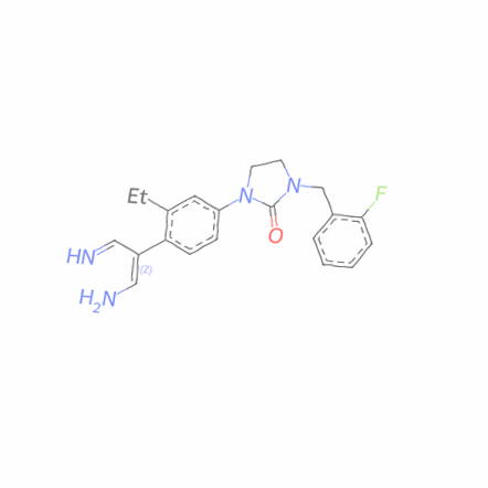 CCc1cc(N2CCN(Cc3ccccc3F)C2=O)ccc1/C(C=N)=C/N